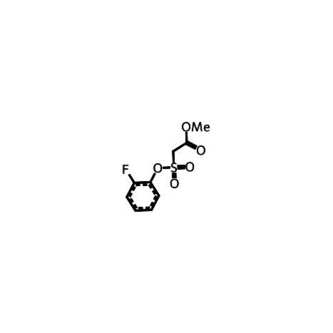 COC(=O)CS(=O)(=O)Oc1ccccc1F